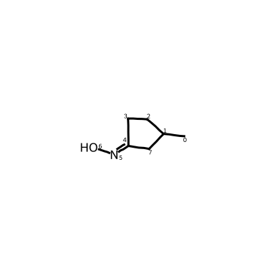 CC1CC/C(=N\O)C1